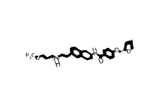 COCCCNCCc1ccc2c(c1)CC[C@H](NC(=O)c1ccc(OC[C@@H]3CCCO3)cc1)C2